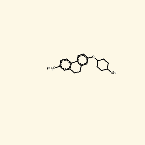 CCCCC1CCC(Oc2ccc3c(c2)CCc2cc(C(=O)O)ccc2-3)CC1